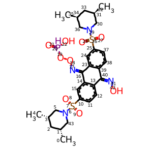 C[C@@H]1C[C@H](C)CN(S(=O)(=O)c2ccc3c(c2)C(=NOO[PH](=O)O)c2cc(S(=O)(=O)N4C[C@H](C)C[C@H](C)C4)ccc2C3=NO)C1